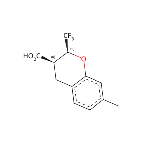 Cc1ccc2c(c1)O[C@H](C(F)(F)F)[C@H](C(=O)O)C2